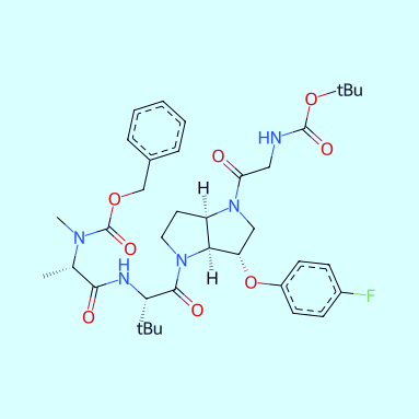 C[C@@H](C(=O)N[C@H](C(=O)N1CC[C@@H]2[C@H]1[C@@H](Oc1ccc(F)cc1)CN2C(=O)CNC(=O)OC(C)(C)C)C(C)(C)C)N(C)C(=O)OCc1ccccc1